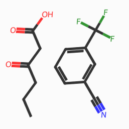 CCCC(=O)CC(=O)O.N#Cc1cccc(C(F)(F)F)c1